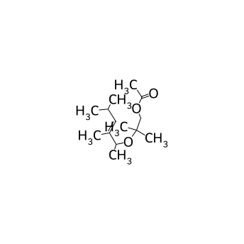 CC(=O)OCC(C)(C)OC(C)C(C)=CC(C)C